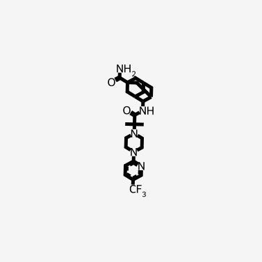 CC(C)(C(=O)NC1C2CC3CC1CC(C(N)=O)(C3)C2)N1CCN(c2ccc(C(F)(F)F)cn2)CC1